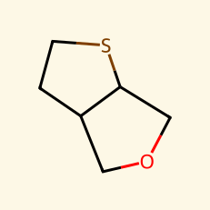 C1CC2COCC2S1